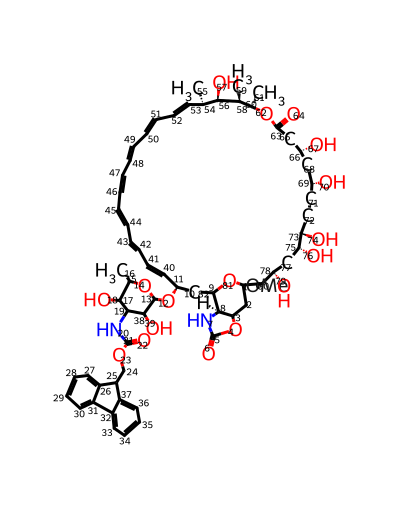 CO[C@]12CC3OC(=O)N[C@H]3C(C[C@@H](OC3OC(C)C(O)C(NC(=O)OCC4c5ccccc5-c5ccccc54)C3O)/C=C/C=C/C=C/C=C/C=C/C=C/C=C/[C@H](C)[C@@H](O)[C@@H](C)[C@H](C)OC(=O)C[C@H](O)C[C@H](O)CC[C@@H](O)[C@H](O)C[C@H](O)C1)O2